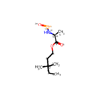 CCC(C)(C)CCOC(=O)[C@H](C)N[PH]=O